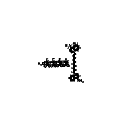 Nc1cc[n+](CCCCCCCCCC[n+]2ccc(N)c3ccccc32)c2ccccc12.O.O.O=C(O)C(F)(F)F.O=C(O)C(F)(F)F.O=C([O-])C(F)(F)F.O=C([O-])C(F)(F)F